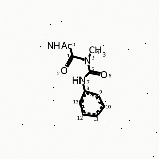 CC(=O)NC(=O)N(C)C(=O)Nc1ccccc1